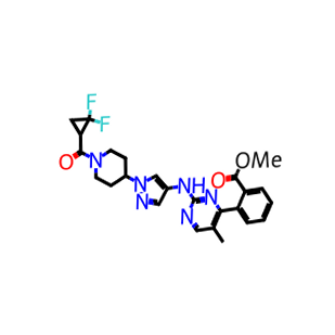 COC(=O)c1ccccc1-c1nc(Nc2cnn(C3CCN(C(=O)C4CC4(F)F)CC3)c2)ncc1C